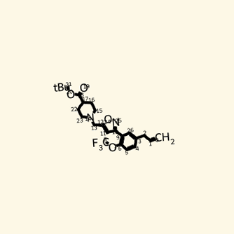 C=CCc1ccc(OC(F)(F)F)c(-c2cc(CN3CCC(C(=O)OC(C)(C)C)CC3)on2)c1